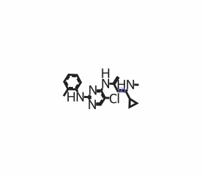 C=C(/C=C(\NC)C1CC1)Nc1nc(Nc2ccccc2C)ncc1Cl